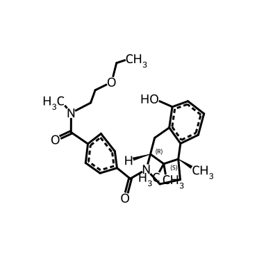 CCOCCN(C)C(=O)c1ccc(C(=O)N2CC[C@@]3(C)c4cccc(O)c4C[C@@H]2C3(C)C)cc1